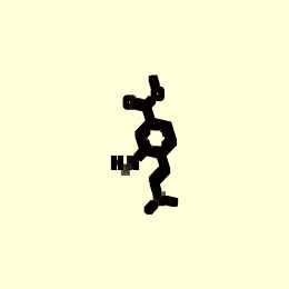 COC(=O)c1ccc(/C=C/N(C)C)c(N)c1